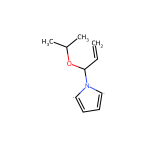 C=CC(OC(C)C)n1[c]cc[c]1